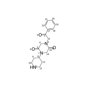 O=C(CN1CC(=O)N(C2CCNCC2)CC1=O)c1ccccc1